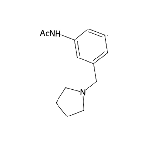 CC(=O)Nc1c[c]cc(CN2CCCC2)c1